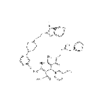 COC(=O)C1=C(C)NC(C)=C(C(=O)OCCN(C)Cc2ccccc2)C1c1cccc([N+](=O)[O-])c1.O=c1n(CCCN2CCN(c3cccc(Cl)c3)CC2)nc2ccccn12